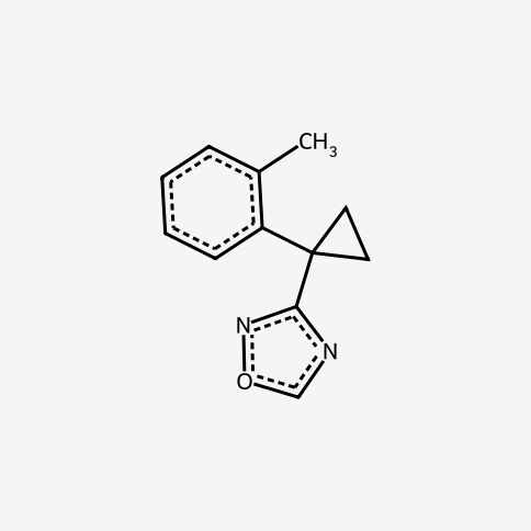 Cc1ccccc1C1(c2ncon2)CC1